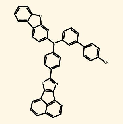 N#Cc1ccc(-c2cccc(N(c3ccc(-c4nc5c(s4)-c4cccc6cccc-5c46)cc3)c3ccc4c(c3)oc3ccccc34)c2)cc1